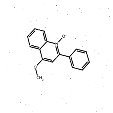 COc1cc(-c2ccccc2)[n+]([O-])c2ccccc12